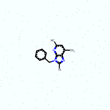 CCc1nc2c(C)cc(C#N)nc2n1Cc1ccccc1